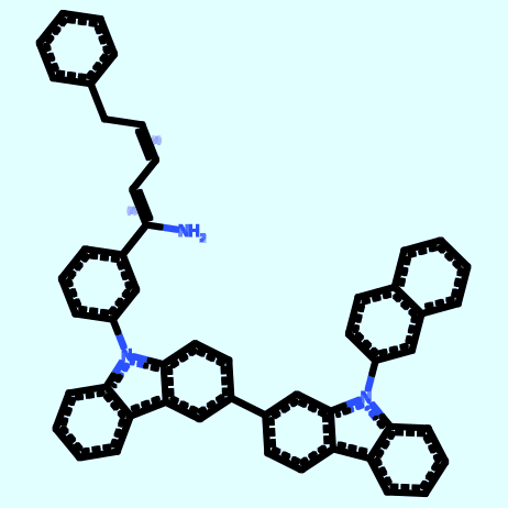 N/C(=C\C=C/Cc1ccccc1)c1cccc(-n2c3ccccc3c3cc(-c4ccc5c6ccccc6n(-c6ccc7ccccc7c6)c5c4)ccc32)c1